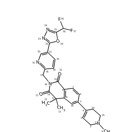 CN1CC=C(c2ccc3c(c2)C(C)(C)C(=O)N(Cc2ccc(-c4nnc(C(F)F)o4)cn2)C3=O)CC1